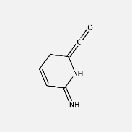 N=C1C=CCC(=C=O)N1